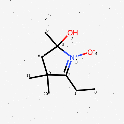 CCC1=[N+]([O-])C(C)(O)CC1(C)C